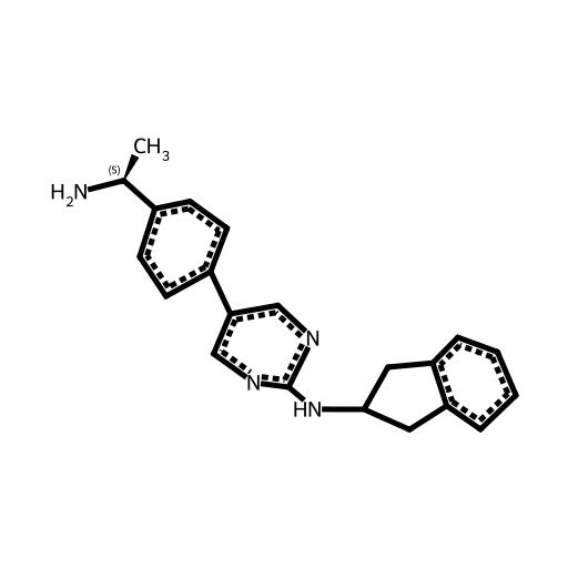 C[C@H](N)c1ccc(-c2cnc(NC3Cc4ccccc4C3)nc2)cc1